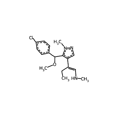 CC/C(=C\NC)c1cnn(C)c1C(OC)c1ccc(Cl)cc1